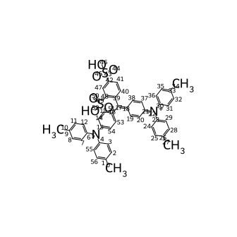 Cc1ccc(N(c2ccc(C)cc2)c2ccc(C(=C3C=CC(=[N+](c4ccc(C)cc4)c4ccc(C)cc4)C=C3)c3ccc(S(=O)(=O)O)cc3S(=O)(=O)O)cc2)cc1